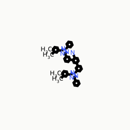 Cc1ccc(-c2nc(-c3ccccc3)nc(-c3cccc(-c4ccc(C#N)c(-c5cccc(-c6nc(-c7ccccc7)nc(-c7ccc(C)c(C)c7)n6)c5)c4)c3)n2)cc1C